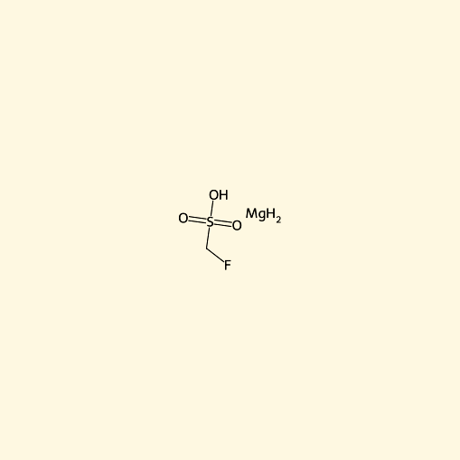 O=S(=O)(O)CF.[MgH2]